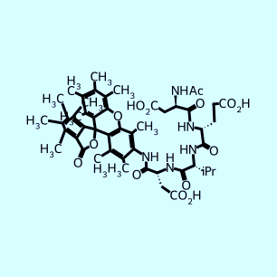 CC(=O)N[C@H](CC(=O)O)C(=O)N[C@H](CCC(=O)O)C(=O)N[C@@H](C(=O)N[C@H](CC(=O)O)C(=O)Nc1c(C)c(C)c2c(c1C)Oc1c(C)c(C)c(C)c(C)c1C21OC(=O)c2c(C)c(C)c(C)c(C)c21)C(C)C